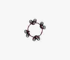 COCOC12CCC(OCOC)(CC1)c1ccc(cc1)-c1ccc3cc(ccc3c1)-c1ccc(cc1)[C@]1(OCOC)CCC(OCOC)(CC1)c1ccc(cc1)-c1ccc(cc1)[C@]1(OCOC)CCC(OCOC)(CC1)c1ccc(cc1)-c1ccc(cc1)-c1ccc(cc1)C1(OCOC)CC[C@](OCOC)(CC1)c1ccc(cc1)-c1ccc2cc1